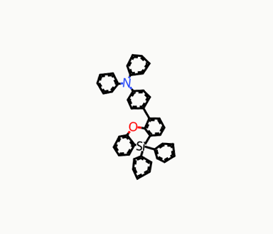 c1ccc(N(c2ccccc2)c2ccc(-c3cccc4c3Oc3ccccc3[Si]4(c3ccccc3)c3ccccc3)cc2)cc1